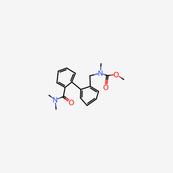 COC(=O)N(C)Cc1ccccc1-c1ccccc1C(=O)N(C)C